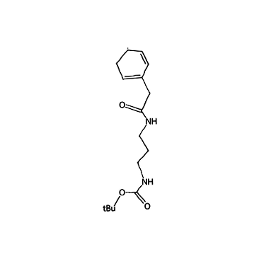 CC(C)(C)OC(=O)NCCCNC(=O)CC1=CC[CH]C=C1